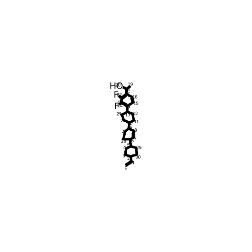 C=CC1CCC(C2C=CC(C3CCC(c4ccc(C(C)O)c(F)c4F)CC3)CC2)CC1